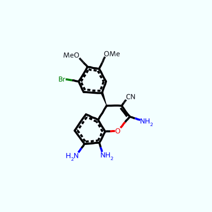 COc1cc([C@H]2C(C#N)=C(N)Oc3c2ccc(N)c3N)cc(Br)c1OC